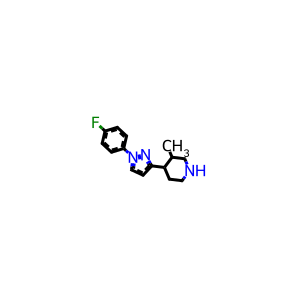 CC1CNCCC1c1ccn(-c2ccc(F)cc2)n1